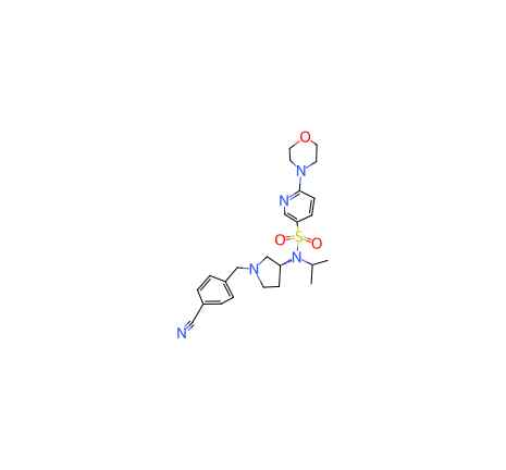 CC(C)N([C@H]1CCN(Cc2ccc(C#N)cc2)C1)S(=O)(=O)c1ccc(N2CCOCC2)nc1